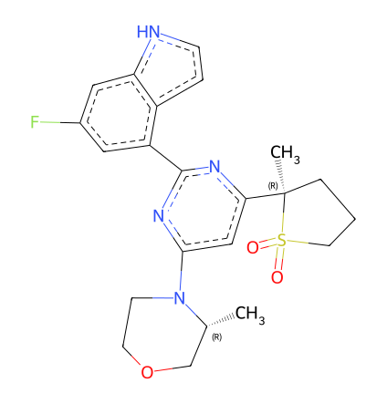 C[C@@H]1COCCN1c1cc([C@@]2(C)CCCS2(=O)=O)nc(-c2cc(F)cc3[nH]ccc23)n1